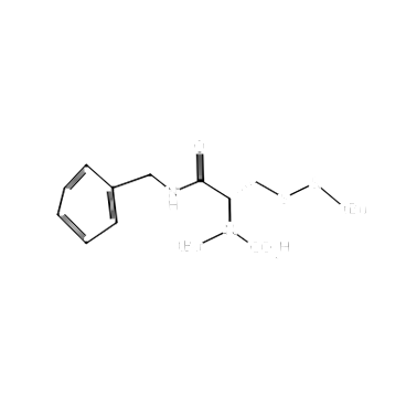 CC(C)(C)SSC[C@@H](C(=O)NCc1ccccc1)N(C(=O)O)C(C)(C)C